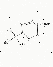 CCC[CH2][Sn]([CH2]CCC)([CH2]CCC)[c]1ccc(OC)cc1